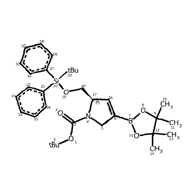 CC(C)(C)OC(=O)N1CC(B2OC(C)(C)C(C)(C)O2)=C[C@@H]1CO[Si](c1ccccc1)(c1ccccc1)C(C)(C)C